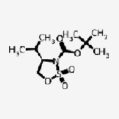 CC(C)[C@@H]1COS(=O)(=O)N1C(=O)OC(C)(C)C